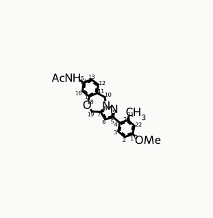 COc1ccc(-c2cc3n(n2)Cc2ccc(NC(C)=O)cc2OC3)c(C)c1